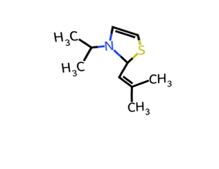 CC(C)=CC1SC=CN1C(C)C